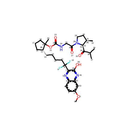 COc1ccc2nc(C(F)(F)CCCC[C@@H]3CCCC3(C)OC(=O)NCC(=O)N3CC[C@@H](C)[C@H]3C(=O)C(C)C)c(O)nc2c1